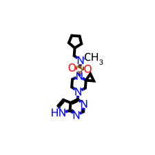 CN(CC1CCCC1)S(=O)(=O)N1CCN(c2ncnc3[nH]ccc23)CC12CC2